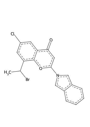 CC(Br)c1cc(Cl)cc2c(=O)cc(-n3cc4ccccc4c3)oc12